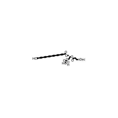 C#CC#CC#CC#CC#CC#CC#CC(=O)OC[C@@H](COP(=O)(O)O)OC(=O)CCCCCCCCCCCC